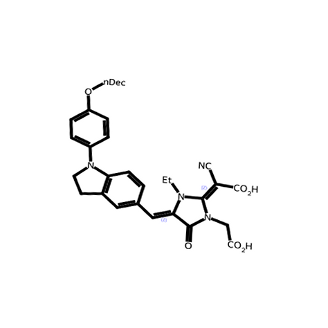 CCCCCCCCCCOc1ccc(N2CCc3cc(/C=c4/c(=O)n(CC(=O)O)/c(=C(/C#N)C(=O)O)n4CC)ccc32)cc1